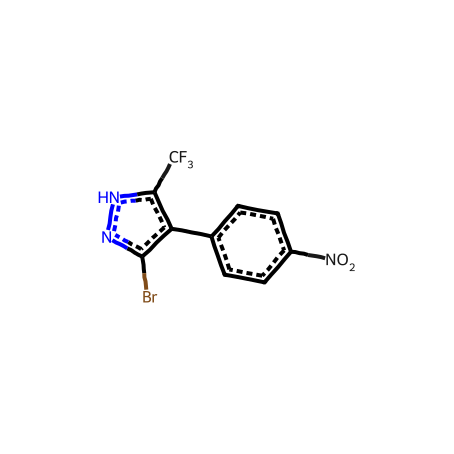 O=[N+]([O-])c1ccc(-c2c(Br)n[nH]c2C(F)(F)F)cc1